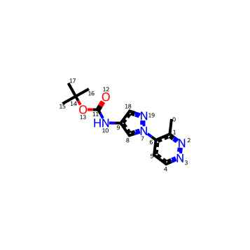 Cc1nnccc1-n1cc(NC(=O)OC(C)(C)C)cn1